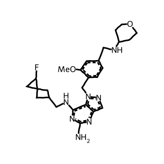 COc1cc(CNC2CCOCC2)ccc1Cn1ncc2nc(N)nc(NCC3CC4(C3)CC4F)c21